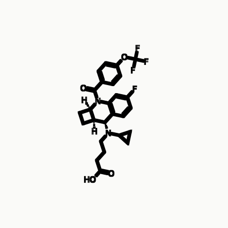 O=C(O)CCCN(C1CC1)[C@H]1c2ccc(F)cc2N(C(=O)c2ccc(OC(F)(F)F)cc2)[C@@H]2CC[C@@H]21